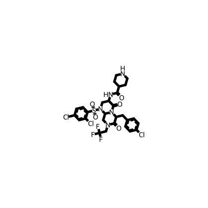 O=C(NC1CN(S(=O)(=O)c2ccc(Cl)cc2Cl)C2CN(CC(F)(F)F)C(=O)C(Cc3ccc(Cl)cc3)N2C1=O)C1CCNCC1